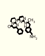 CC(Cc1cccc(CN)c1)Nc1nccc(N2CCCn3c2nc(-c2ccccc2)cc3=O)n1